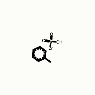 Cc1ccccc1.O=[S](=O)(O)[Zr]